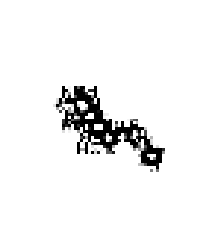 NC(=O)C1C(=O)[C@@]2(O)C(O)=C3C(=O)c4c(O)ccc(NC5CCN(Cc6ccccc6)CC5)c4C[C@H]3C[C@H]2CC1O